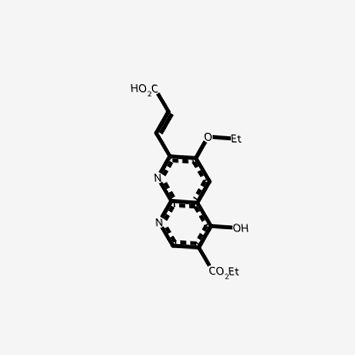 CCOC(=O)c1cnc2nc(C=CC(=O)O)c(OCC)cc2c1O